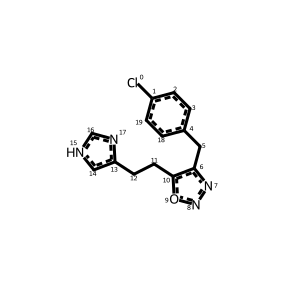 Clc1ccc(Cc2nnoc2CCc2c[nH]cn2)cc1